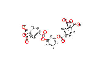 O=C(Oc1cccc(OC(=O)c2ccc3c(c2)C(=O)OC3=O)c1)C1=CC2=C(CC1)C(=O)OC2=O